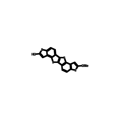 COc1cc2c(ccc3c2sc2c4ccc5sc(O)cc5c4sc32)s1